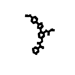 CNc1ccc(-c2ncc(-c3ccc(CNC(=O)c4cncnc4)cc3SNC(C)(C)C)s2)cc1